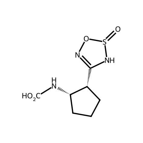 O=C(O)N[C@H]1CCC[C@H]1C1=NOS(=O)N1